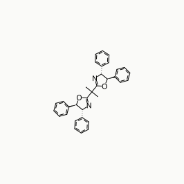 CC(C)(C1=N[C@H](c2ccccc2)[C@@H](c2ccccc2)O1)C1=N[C@H](c2ccccc2)[C@@H](c2ccccc2)O1